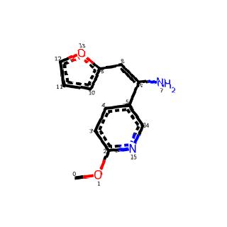 COc1ccc(/C(N)=C\c2ccco2)cn1